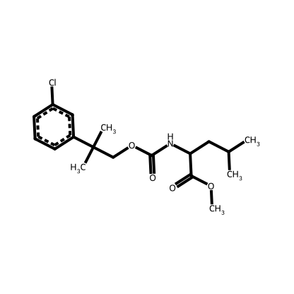 COC(=O)C(CC(C)C)NC(=O)OCC(C)(C)c1cccc(Cl)c1